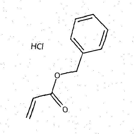 C=CC(=O)OCc1ccccc1.Cl